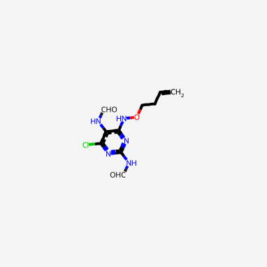 C=CCCONc1nc(NC=O)nc(Cl)c1NC=O